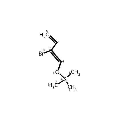 C=CC(Br)=CO[Si](C)(C)C